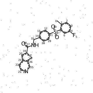 Cc1ccc(F)cc1S(=O)(=O)c1ccc(CNC(=O)c2cc3ccncc3s2)cc1